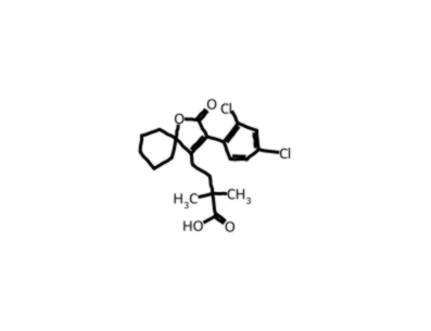 CC(C)(CCC1=C(c2ccc(Cl)cc2Cl)C(=O)OC12CCCCC2)C(=O)O